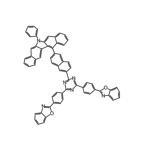 c1ccc(-n2c3cc4ccccc4cc3c3c(-c4ccc5cc(-c6nc(-c7ccc(-c8nc9ccccc9o8)cc7)nc(-c7ccc(-c8nc9ccccc9o8)cc7)n6)ccc5c4)c4ccccc4cc32)cc1